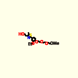 CCOc1cc(-c2nc(CCO)c(C)s2)ccc1OCCOCCOCCOC